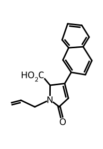 C=CCN1C(=O)C=C(c2ccc3ccccc3c2)C1C(=O)O